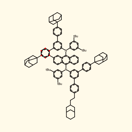 CC(C)(C)c1cc(N(c2cc(-c3ccc(CCC4CC5CCCC(C5)C4)cc3)cc(-c3ccc(C45CC6CC(CC(C6)C4)C5)cc3)c2)c2c3ccccc3c(N(c3cc(-c4ccc(C56CC7CC(CC(C7)C5)C6)cc4)cc(-c4ccc(C56CC7CC(CC(C7)C5)C6)cc4)c3)c3cc(C(C)(C)C)cc(C(C)(C)C)c3)c3cc(-c4ccccc4)ccc23)cc(C(C)(C)C)c1